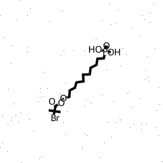 CC(C)(Br)C(=O)OOCCCCCCCCCCCP(=O)(O)O